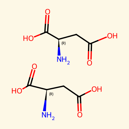 N[C@H](CC(=O)O)C(=O)O.N[C@H](CC(=O)O)C(=O)O